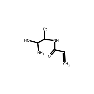 C=CC(=O)NC(CC)C(N)O